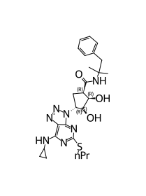 CCCSc1nc(NC2CC2)c2nnn([C@@H]3C[C@@H](C(=O)NC(C)(C)Cc4ccccc4)[C@@H](O)[C@H]3O)c2n1